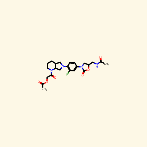 CC(=O)NCC1CN(c2ccc(N3CC4CCCN(C(=O)COC(C)=O)C4C3)c(F)c2)C(=O)O1